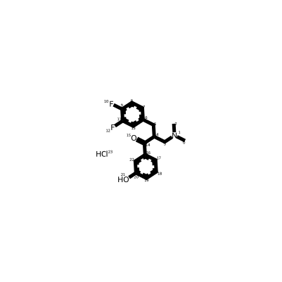 CN(C)CC(Cc1ccc(F)c(F)c1)C(=O)c1cccc(O)c1.Cl